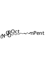 CCCCCC=CCC=CCCCCCCCCOC(CCN1CCCC1)OCCCCCCCC